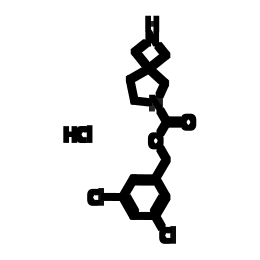 Cl.O=C(OCc1cc(Cl)cc(Cl)c1)N1CCC2(CNC2)C1